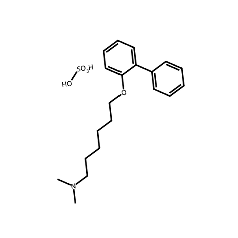 CN(C)CCCCCCOc1ccccc1-c1ccccc1.O=S(=O)(O)O